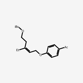 CCC(=CCOc1ccc(C(C)=O)cc1)CCOC(C)CC